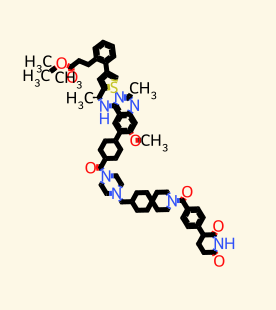 COc1cc2nc(C)nc(N[C@H](C)c3cc(-c4ccccc4CCC(=O)OC(C)(C)C)cs3)c2cc1C1CCC(C(=O)N2CCN(CC3CCC4(CC3)CCN(C(=O)c3ccc(C5CCC(=O)NC5=O)cc3)CC4)CC2)CC1